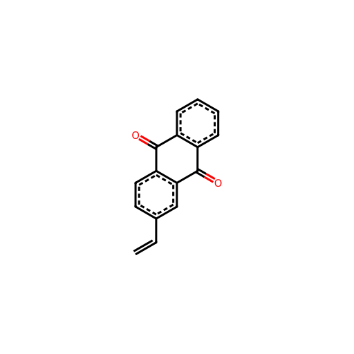 C=Cc1ccc2c(c1)C(=O)c1ccccc1C2=O